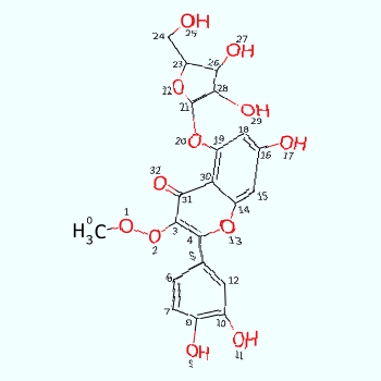 COOc1c(-c2ccc(O)c(O)c2)oc2cc(O)cc(OC3OC(CO)C(O)C3O)c2c1=O